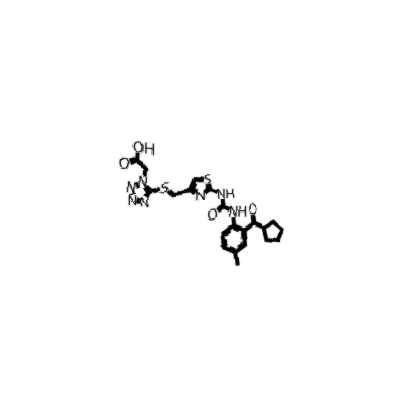 Cc1ccc(NC(=O)Nc2nc(CSc3nnnn3CC(=O)O)cs2)c(C(=O)C2CCCC2)c1